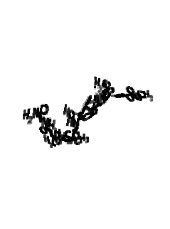 COC(=O)OCC[C@H](CSC[C@H](N)C(=O)N[C@@H](CO)C(=O)NCCOC(C)(C)CCOC(C)(C)CCC(=O)NCC(N)=O)OC(=O)OC